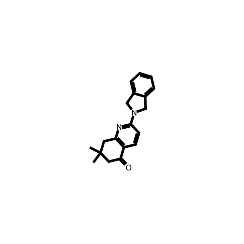 CC1(C)CC(=O)c2ccc(N3Cc4ccccc4C3)nc2C1